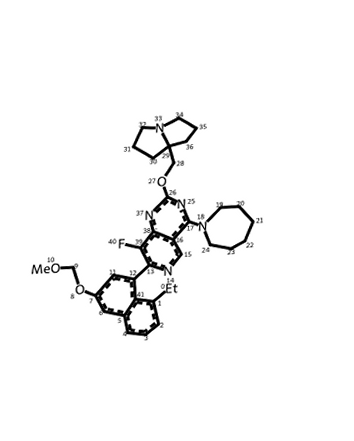 CCc1cccc2cc(OCOC)cc(-c3ncc4c(N5CCCCCC5)nc(OCC56CCCN5CCC6)nc4c3F)c12